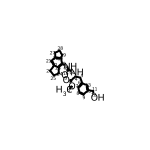 COC(=O)C(Cc1cccc(CO)c1)NC(=O)Nc1c2c(cc3c1CCC3)CCC2